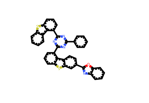 c1ccc(-c2nc(-c3cccc4sc5ccccc5c34)nc(-c3cccc4sc5cc(-c6nc7ccccc7o6)ccc5c34)n2)cc1